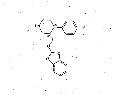 Fc1ccc([C@@H]2CCNC[C@H]2COC2Oc3ccccc3O2)cc1